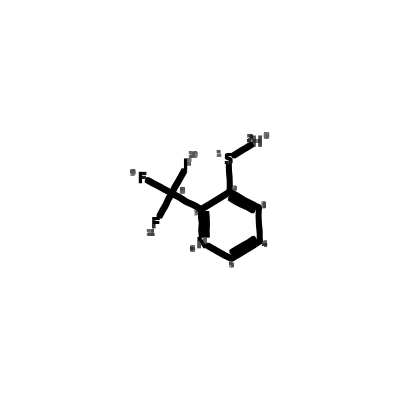 [2H]Sc1cccnc1C(F)(F)F